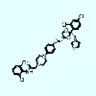 O=C(CN1CCN(c2ccc(OC[C@@H]3CO[C@@](Cn4ccnc4)(c4ccc(Cl)cc4Cl)O3)cc2)CC1)Nc1c(Cl)cccc1Cl